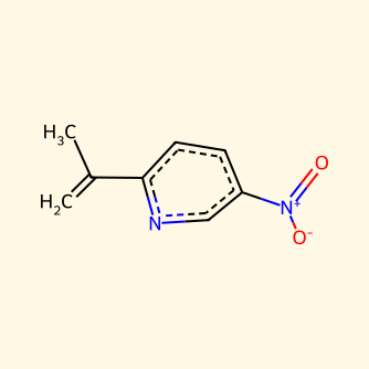 C=C(C)c1ccc([N+](=O)[O-])cn1